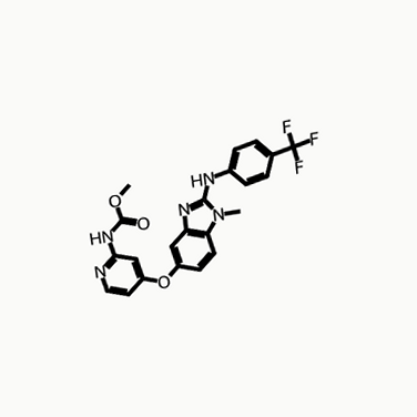 COC(=O)Nc1cc(Oc2ccc3c(c2)nc(Nc2ccc(C(F)(F)F)cc2)n3C)ccn1